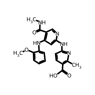 CNC(=O)c1cnc(Nc2ccc(C(=O)O)c(C)n2)cc1Nc1ccccc1OC